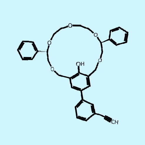 C#Cc1cccc(-c2cc3c(O)c(c2)COC[C@H](c2ccccc2)OCCOCCO[C@@H](c2ccccc2)COC3)c1